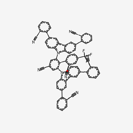 N#Cc1cc(-n2c3ccc(-c4ccccc4C#N)cc3c3cc(-c4ccccc4C#N)ccc32)c(-c2ccc(C(F)(F)F)cc2C#N)c(-n2c3ccc(-c4ccccc4C#N)cc3c3cc(-c4ccccc4C#N)ccc32)c1